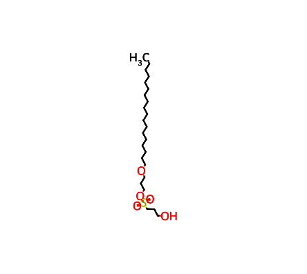 CCCCCCCCCCCCCCCCCCOCCCOS(=O)(=O)CCCO